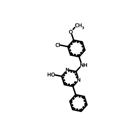 COc1ccc(Nc2nc(O)cc(-c3ccccc3)n2)cc1Cl